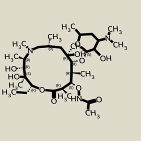 CC[C@H]1OC(=O)[C@H](C)[C@@H](ONC(C)=O)[C@H](C)[C@@H](O[C@@H]2OC(C)CC(N(C)C)C2O)[C@](C)(O)C[C@@H](C)CN(C)[C@H](C)[C@@H](O)[C@]1(C)O